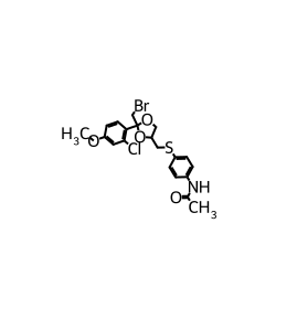 COc1ccc(C2(CBr)OCC(CSc3ccc(NC(C)=O)cc3)O2)c(Cl)c1